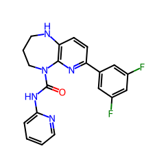 O=C(Nc1ccccn1)N1CCCNc2ccc(-c3cc(F)cc(F)c3)nc21